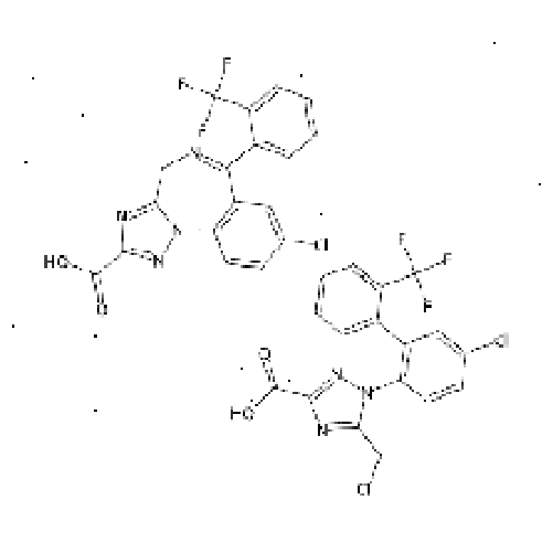 O=C(O)c1nc(CCl)n(-c2ccc(Cl)cc2-c2ccccc2C(F)(F)F)n1.O=C(O)c1nc2n(n1)-c1ccc(Cl)cc1C(c1ccccc1C(F)(F)F)=NC2